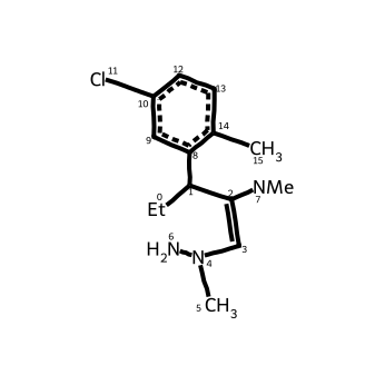 CCC(/C(=C\N(C)N)NC)c1cc(Cl)ccc1C